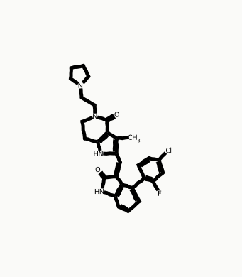 Cc1c(/C=C2\C(=O)Nc3cccc(-c4ccc(Cl)cc4F)c32)[nH]c2c1C(=O)N(CCN1CCCC1)CC2